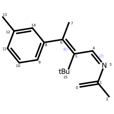 C=C(C)/N=C\C(=C(/C)c1cccc(C)c1)C(C)(C)C